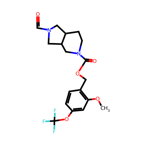 COc1cc(OC(F)(F)F)ccc1COC(=O)N1CCC2CN(C=O)CC2C1